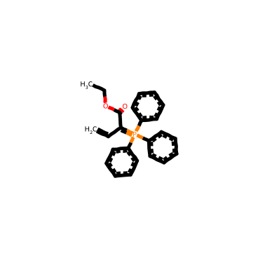 C=CC(C(=O)OCC)=P(c1ccccc1)(c1ccccc1)c1ccccc1